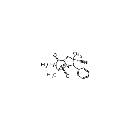 CN1C(=O)[C@]23C[C@](C)(C#N)C(c4ccccc4)N2C(=O)[C@@]1(C)SS3